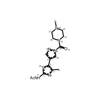 CC(=O)Nc1nc(C)c(-c2cnn(C(=O)N3CCN(C)CC3)c2)s1